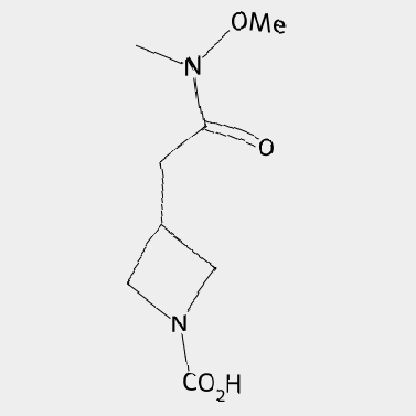 CON(C)C(=O)CC1CN(C(=O)O)C1